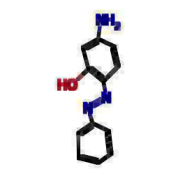 Nc1ccc(N=Nc2ccccc2)c(O)c1